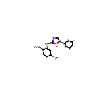 COc1ccc(OC)c(Nc2ncc(-c3ccccc3)o2)c1